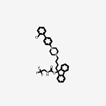 O=C(NCC(F)(F)F)OC1(CCCCN2CCN(c3ccc(-c4ccccc4Cl)cc3)CC2)c2ccccc2-c2ccccc21